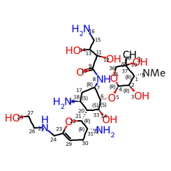 CN[C@@H]1[C@@H](O)[C@@H](O[C@H]2[C@H](NC(=O)C(O)C(O)CN)C[C@H](N)C([C@H]3OC(CNCCO)=CC[C@H]3N)[C@@H]2O)OC[C@]1(C)O